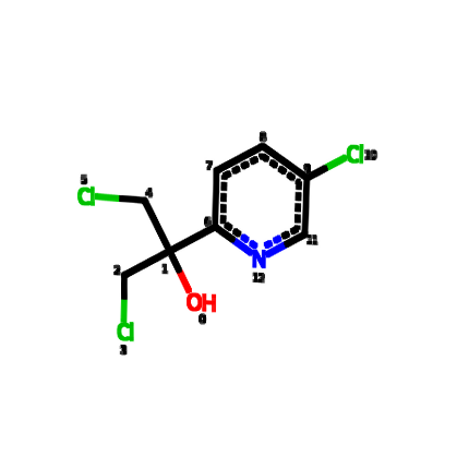 OC(CCl)(CCl)c1ccc(Cl)cn1